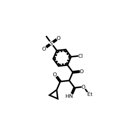 CCOC(=N)C(C(=O)c1ccc(S(C)(=O)=O)cc1Cl)C(=O)C1CC1